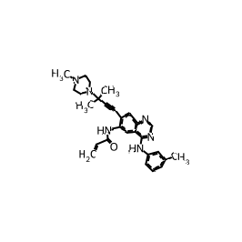 C=CC(=O)Nc1cc2c(Nc3cccc(C)c3)ncnc2cc1C#CC(C)(C)N1CCN(C)CC1